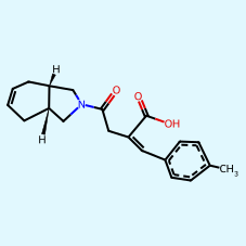 Cc1ccc(C=C(CC(=O)N2C[C@H]3CC=CC[C@H]3C2)C(=O)O)cc1